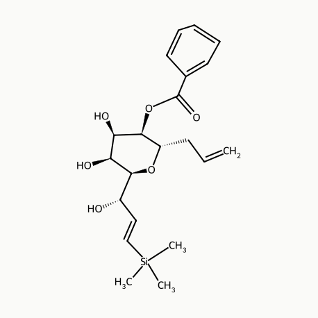 C=CC[C@@H]1O[C@@H]([C@@H](O)C=C[Si](C)(C)C)[C@@H](O)[C@@H](O)[C@H]1OC(=O)c1ccccc1